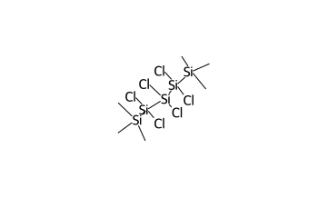 C[Si](C)(C)[Si](Cl)(Cl)[Si](Cl)(Cl)[Si](Cl)(Cl)[Si](C)(C)C